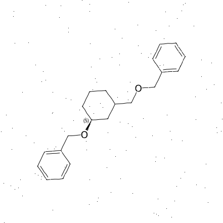 c1ccc(COCC2CCC[C@H](OCc3ccccc3)C2)cc1